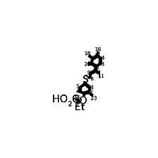 CCC(Oc1ccc(SCC=C(I)c2ccc(C)c(C)c2C)cc1C)C(=O)O